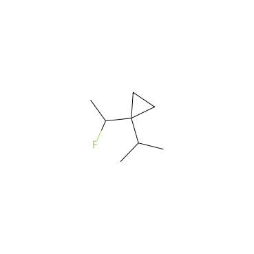 CC(C)C1(C(C)F)CC1